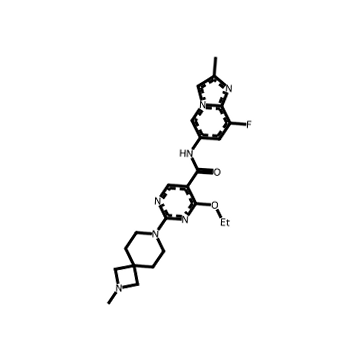 CCOc1nc(N2CCC3(CC2)CN(C)C3)ncc1C(=O)Nc1cc(F)c2nc(C)cn2c1